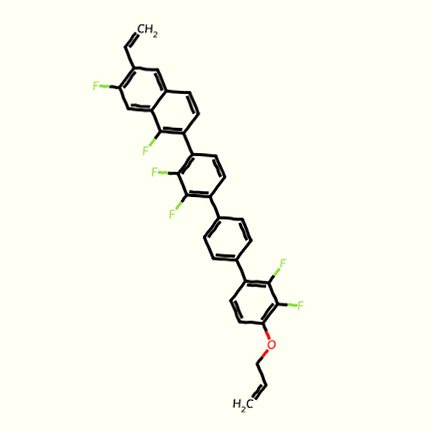 C=CCOc1ccc(-c2ccc(-c3ccc(-c4ccc5cc(C=C)c(F)cc5c4F)c(F)c3F)cc2)c(F)c1F